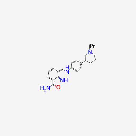 CC(C)N1CCCC(c2ccc(N/C=C3/C=CC=C(C(N)=O)C3=N)cc2)C1